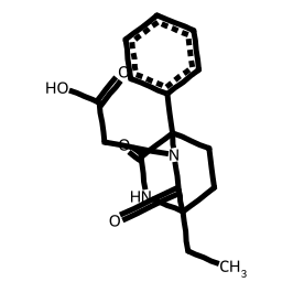 CCC12CCC(c3ccccc3)(C(=O)N1)N(CC(=O)O)C2=O